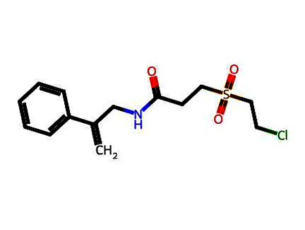 C=C(CNC(=O)CCS(=O)(=O)CCCl)c1ccccc1